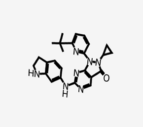 CC(C)(C)c1cccc(-n2c3nc(Nc4ccc5c(c4)NCC5)ncc3c(=O)n2C2CC2)n1